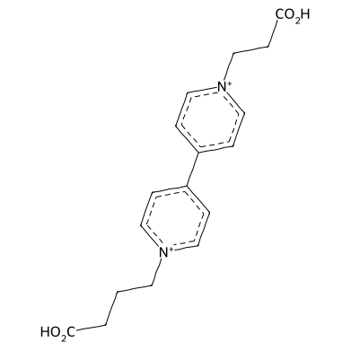 O=C(O)CCC[n+]1ccc(-c2cc[n+](CCC(=O)O)cc2)cc1